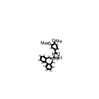 CCO/C(=N\C(=O)c1ccc(OC)c(OC)c1)N1Cc2ccccc2-c2ccccc2C1